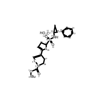 CC(C)(C)OC(=O)N1CC=C(C2=CCC(S(=O)(=O)N[C@@]3(C(=O)O)C[C@@H]3c3ccccc3)S2)CC1